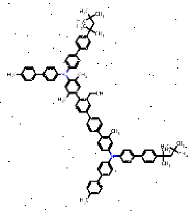 CCc1cc(-c2ccc(-c3ccc(N(c4ccc(-c5ccc(C)cc5)cc4)c4ccc(-c5ccc(C(C)(C)CC(C)(C)C)cc5)cc4)cc3C)cc2)ccc1-c1cc(C)c(N(c2ccc(-c3ccc(C)cc3)cc2)c2ccc(-c3ccc(C(C)(C)CC(C)(C)C)cc3)cc2)cc1C